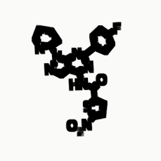 O=C(Nc1nc(-c2ccc(F)cc2)nc2c1cnn2-c1ccccn1)c1ccc([N+](=O)[O-])s1